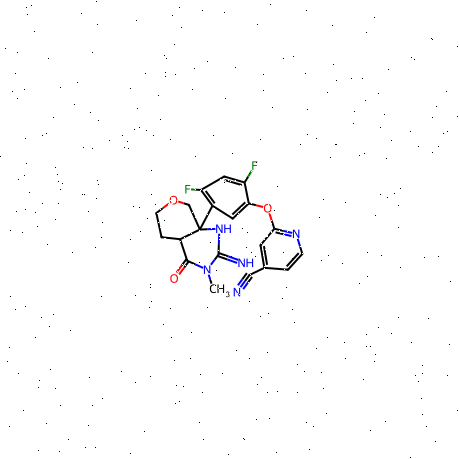 CN1C(=N)NC2(c3cc(Oc4cc(C#N)ccn4)c(F)cc3F)COCCC2C1=O